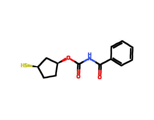 O=C(NC(=O)c1ccccc1)O[C@H]1CC[C@@H](S)C1